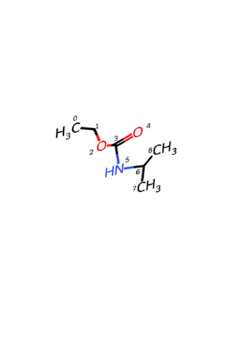 CCOC(=O)NC(C)C